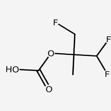 CC(CF)(OC(=O)O)C(F)F